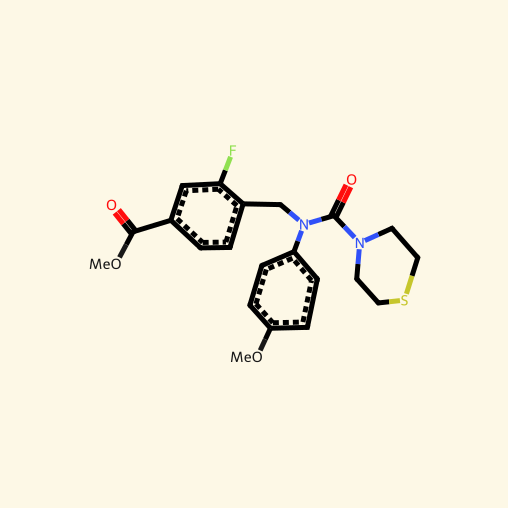 COC(=O)c1ccc(CN(C(=O)N2CCSCC2)c2ccc(OC)cc2)c(F)c1